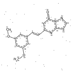 COc1cc(/C=C/c2cc(=O)n3ncsc3n2)cc(OC)c1